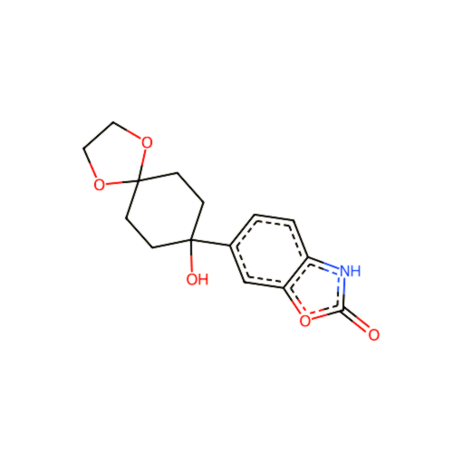 O=c1[nH]c2ccc(C3(O)CCC4(CC3)OCCO4)cc2o1